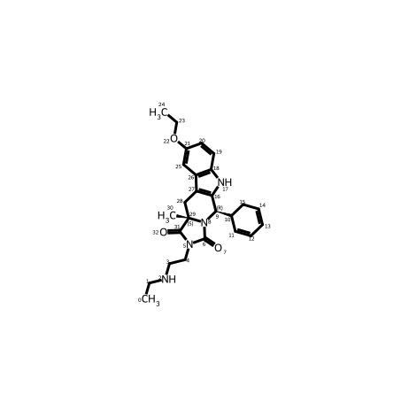 CCNCCN1C(=O)N2[C@H](C3C=CC=CC3)c3[nH]c4ccc(OCC)cc4c3C[C@@]2(C)C1=O